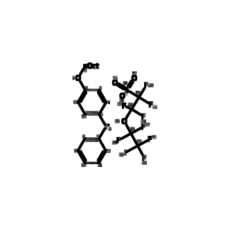 CCCCCCCCOc1ccc([I+]c2ccccc2)cc1.O=S(=O)([O-])C(F)(F)C(F)(F)OC(F)(F)C(F)(F)I